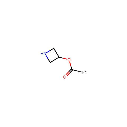 CC(C)C(=O)OC1CNC1